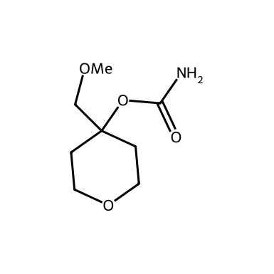 COCC1(OC(N)=O)CCOCC1